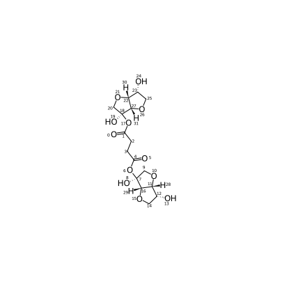 O=C(CCC(=O)O[C@@]1(O)CO[C@@H]2[C@H](O)CO[C@@H]21)O[C@@]1(O)CO[C@@H]2[C@H](O)CO[C@@H]21